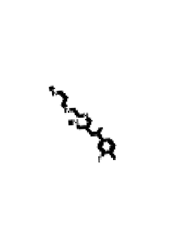 C=N/C=C\C=N/CC/N=C\C(=C/N=C)CC(C)c1ccc(C)c(F)c1